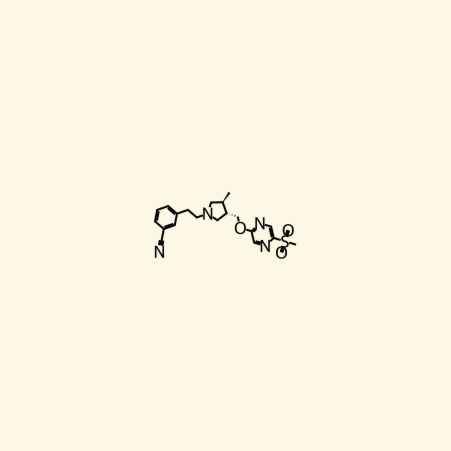 C[C@@H]1CN(CCc2cccc(C#N)c2)C[C@H]1COc1cnc(S(C)(=O)=O)cn1